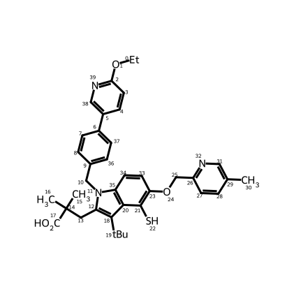 CCOc1ccc(-c2ccc(Cn3c(CC(C)(C)C(=O)O)c(C(C)(C)C)c4c(S)c(OCc5ccc(C)cn5)ccc43)cc2)cn1